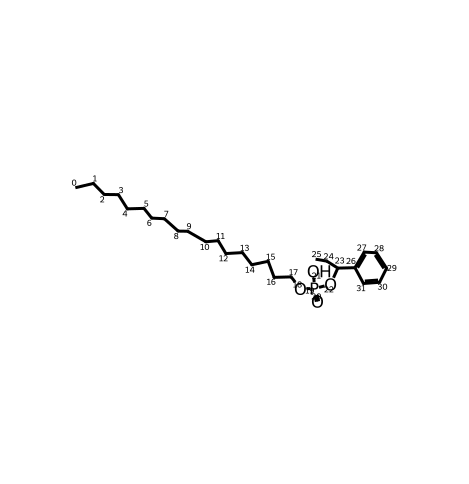 CCCCCCCCCCCCCCCCCCOP(=O)(O)OC(CC)c1ccccc1